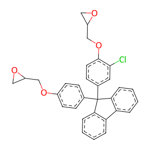 Clc1cc(C2(c3ccc(OCC4CO4)cc3)c3ccccc3-c3ccccc32)ccc1OCC1CO1